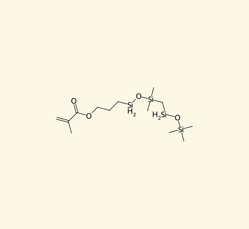 C=C(C)C(=O)OCCC[SiH2]O[Si](C)(C)C[SiH2]O[Si](C)(C)C